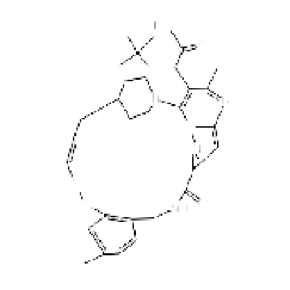 Cc1nc2cc3nn2c(c1[C@H](OC(C)(C)C)C(=O)O)N1CCC(C/C=C\COc2cc(F)ccc2CNC3=O)CC1